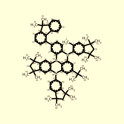 Cc1cc2c(cc1N1c3ccc(-c4cccc5c4-c4ccccc4C5(C)C)cc3B3c4cc5c(cc4N(c4ccc6c(c4)C(C)(C)CC6(C)C)c4cc(C(C)(C)C)cc1c43)C(C)(C)CC5(C)C)C(C)(C)CC2(C)C